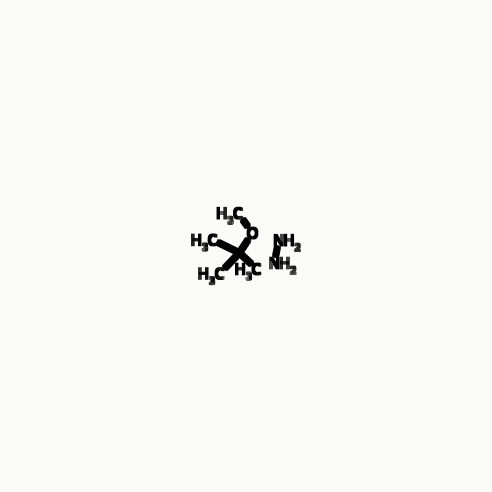 COC(C)(C)C.NN